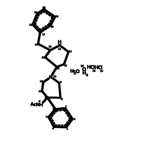 CC(=O)NC1(c2ccccc2)CCN(C2CCNC(Cc3ccccc3)C2)CC1.Cl.Cl.O.O